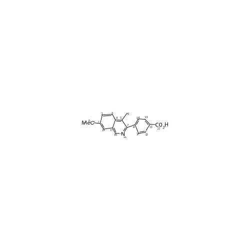 COc1ccc2c(C)c(-c3ccc(C(=O)O)cc3)ncc2c1